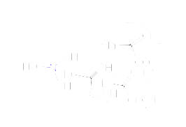 C=C(CC)C(=O)O.C=C(CC)C(=O)O.C=C(CCC)C(=O)O.CN(C)C.Cl